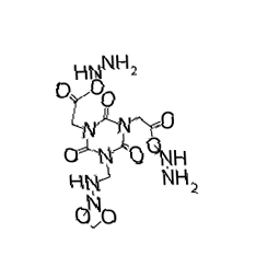 NNOC(=O)Cn1c(=O)n(CNN2OCO2)c(=O)n(CC(=O)ONN)c1=O